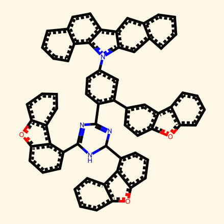 c1ccc2cc3c(cc2c1)c1ccc2ccccc2c1n3-c1ccc(C2=NC(c3cccc4oc5ccccc5c34)NC(c3cccc4oc5ccccc5c34)=N2)c(-c2ccc3oc4ccccc4c3c2)c1